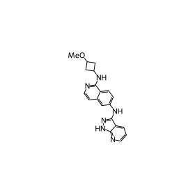 COC1CC(Nc2nccc3cc(Nc4n[nH]c5ncccc45)ccc23)C1